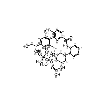 C[C@H]1CN(c2ccncc2NC(=O)c2ccc(F)c(-c3c(F)cc([C@@H](O)CO)cc3F)n2)C[C@@H](NC(=O)O)[C@@H]1O[Si](C)(C)C(C)(C)C